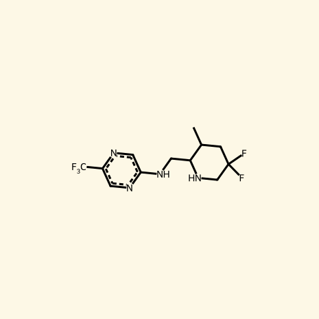 CC1CC(F)(F)CNC1CNc1cnc(C(F)(F)F)cn1